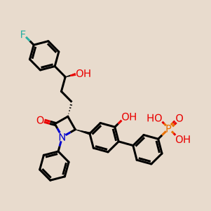 O=C1[C@H](CC[C@H](O)c2ccc(F)cc2)[C@@H](c2ccc(-c3cccc(P(=O)(O)O)c3)c(O)c2)N1c1ccccc1